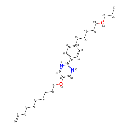 C=CCCCCCCCCOc1cnc(-c2ccc(CCCCCOCCC)cc2)nc1